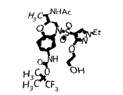 CCn1cc(S(=O)(=O)N2C[C@H]([C@H](C)NC(C)=O)Oc3ccc(NC(=O)OC(C)(C)C(F)(F)F)cc32)c(OCCO)n1